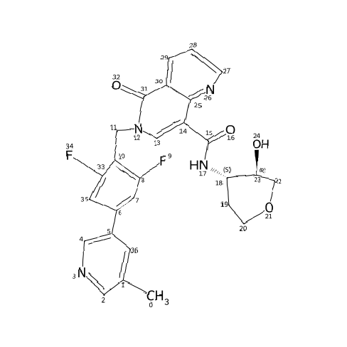 Cc1cncc(-c2cc(F)c(Cn3cc(C(=O)N[C@H]4CCOC[C@@H]4O)c4ncccc4c3=O)c(F)c2)c1